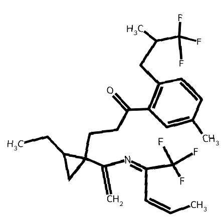 C=C(/N=C(\C=C/C)C(F)(F)F)C1(CCC(=O)c2cc(C)ccc2CC(C)C(F)(F)F)CC1CC